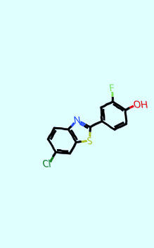 Oc1ccc(-c2nc3ccc(Cl)cc3s2)cc1F